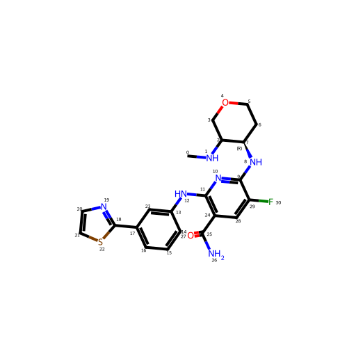 CNC1COCC[C@H]1Nc1nc(Nc2cccc(-c3nccs3)c2)c(C(N)=O)cc1F